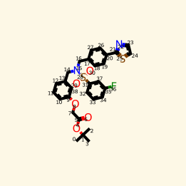 CC(C)(C)OC(=O)COc1cccc(CN(Cc2ccc(-c3nccs3)cc2)S(=O)(=O)c2cccc(F)c2)c1